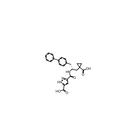 O=C(N[C@H](Cc1ccc(-c2ccccc2)cc1)CC1(C(=O)O)CC1)c1cc(C(=O)O)[nH]n1